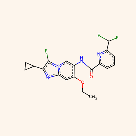 CCOc1cc2nc(C3CC3)c(F)n2cc1NC(=O)c1cccc(C(F)F)n1